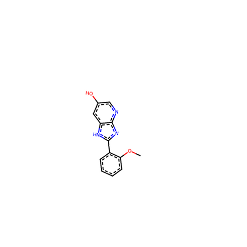 COc1ccccc1-c1nc2ncc(O)cc2[nH]1